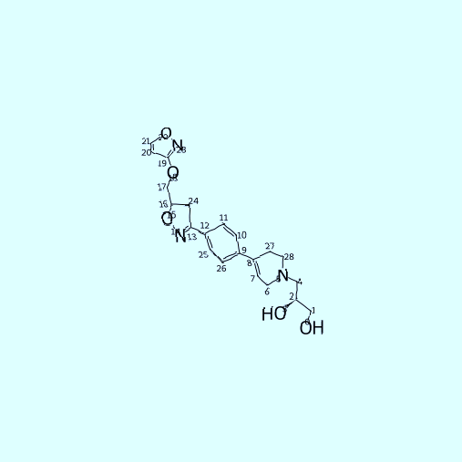 OC[C@@H](O)CN1CC=C(c2ccc(C3=NOC(COc4ccon4)C3)cc2)CC1